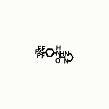 O=C(Nc1ccc(S(F)(F)(F)(F)F)cc1)C1N=CCCN1